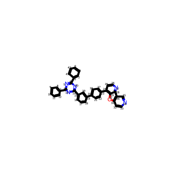 c1ccc(-c2nc(-c3ccccc3)nc(-c3cccc(-c4ccc(-c5ccnc6c5oc5ccncc56)cc4)c3)n2)cc1